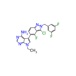 CCn1cc(-c2ccc3nn(Cc4cc(F)cc(F)c4)c(Cl)c3c2F)c2c(N)ncnc21